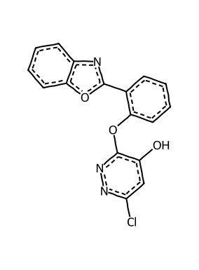 Oc1cc(Cl)nnc1Oc1ccccc1-c1nc2ccccc2o1